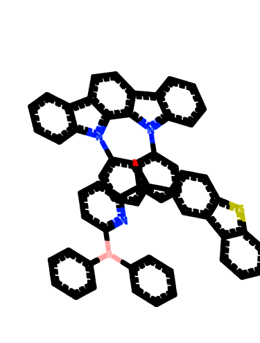 c1ccc(B(c2ccccc2)c2cccc(-c3cccc(-n4c5ccccc5c5ccc6c7ccccc7n(-c7cccc(-c8ccc9sc%10ccccc%10c9c8)c7)c6c54)c3)n2)cc1